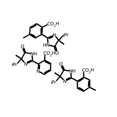 CC(C)C1(C)N=C(c2ncccc2C(=O)O)NC1=O.Cc1ccc(C(=O)O)c(C2=NC(C)(C(C)C)C(=O)N2)c1.Cc1ccc(C2=NC(C)(C(C)C)C(=O)N2)c(C(=O)O)c1